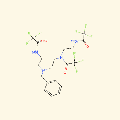 O=C(NCCN(CCN(CCNC(=O)C(F)(F)F)C(=O)C(F)(F)F)Cc1ccccc1)C(F)(F)F